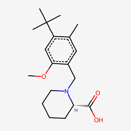 COc1cc(C(C)(C)C)c(C)cc1CN1CCCC[C@H]1C(=O)O